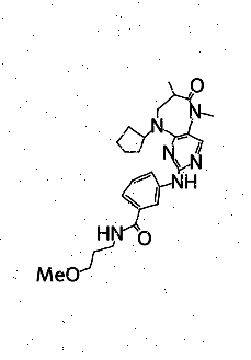 COCCCNC(=O)c1cccc(Nc2ncc3c(n2)N(C2CCCC2)CC(C)C(=O)N3C)c1